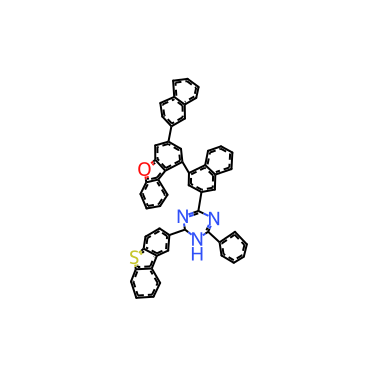 c1ccc(C2=NC(c3cc(-c4cc(-c5ccc6ccccc6c5)cc5oc6ccccc6c45)c4ccccc4c3)=NC(c3ccc4sc5ccccc5c4c3)N2)cc1